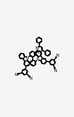 N#Cc1cc(C#N)cc(-c2ccc3c(c2)c2ccccc2n3-c2ccccc2-c2cc(-c3nc(-c4ccccc4)cc(-c4ccccc4)n3)ccc2-n2c3ccccc3c3cc(-c4cc(C#N)cc(C#N)c4)ccc32)c1